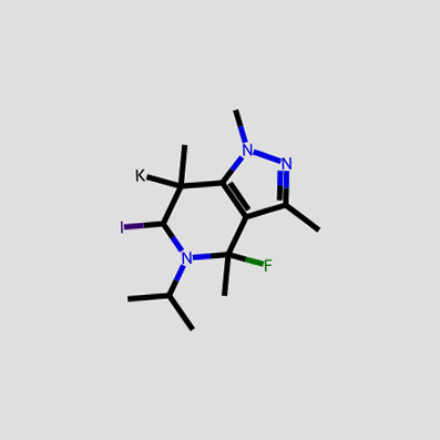 Cc1nn(C)c2c1C(C)(F)N(C(C)C)C(I)[C]2(C)[K]